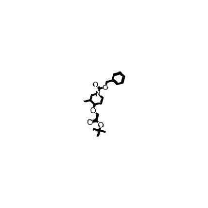 CC1CN(C(=O)OCc2ccccc2)CCC1OCC(=O)OC(C)(C)C